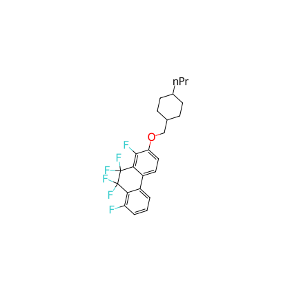 CCCC1CCC(COc2ccc3c(c2F)C(F)(F)C(F)(F)c2c(F)cccc2-3)CC1